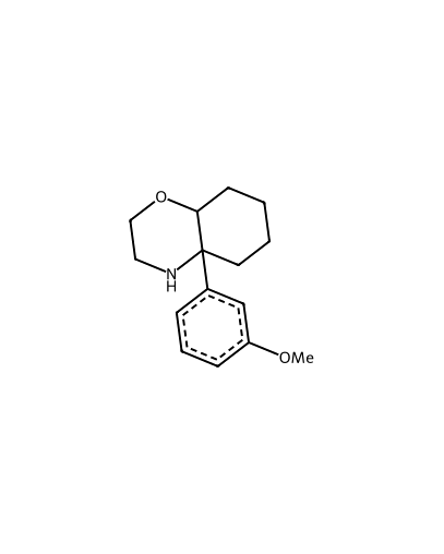 COc1cccc(C23CCCCC2OCCN3)c1